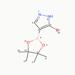 CC1(C)OB(c2cn[nH]c2Br)OC1(C)C